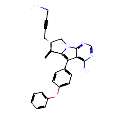 C=C1c2c(-c3ccc(Oc4ccccc4)cc3)c3c(N)ncnc3n2C[C@@H]1CC#CCN